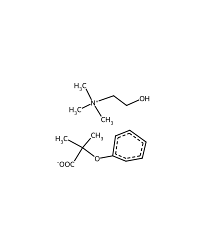 CC(C)(Oc1ccccc1)C(=O)[O-].C[N+](C)(C)CCO